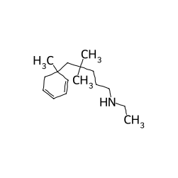 CCNCCCC(C)(C)CC1(C)C=CC=CC1